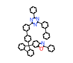 c1ccc(-c2cccc(-c3nc(-c4ccccc4)nc(-c4cccc(-c5ccc(C6(c7ccc8nc(-c9ccccc9)oc8c7)c7ccccc7-c7ccccc76)cc5)c4)n3)c2)cc1